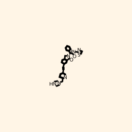 O=C(Nc1nccs1)C(c1ccccc1)N1Cc2ccc(C#Cc3ccc(CN4CCNCC4)nc3)cc2C1=O